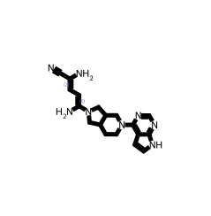 N#C/C(N)=C/C=C(\N)N1CC2CCN(c3ncnc4[nH]ccc34)CC2C1